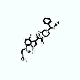 C=N/C=C\N(N)c1ncc(F)c2c(C(=O)C(=O)N3CCN(/C(=N/C#N)c4ccccc4)C[C@@H]3C)c[nH]c12